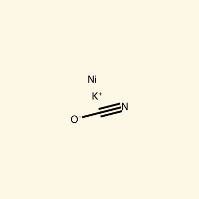 N#C[O-].[K+].[Ni]